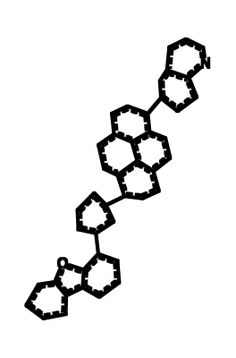 c1cc(-c2ccc3ccc4c(-c5ccc6ncccc6c5)ccc5ccc2c3c54)cc(-c2cccc3c2oc2ccccc23)c1